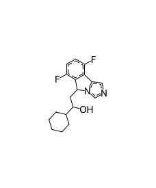 OC(CC1c2c(F)ccc(F)c2-c2cncn21)C1CCCCC1